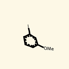 COc1[c]ccc(I)c1